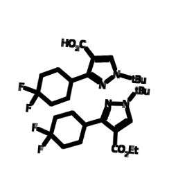 CC(C)(C)n1cc(C(=O)O)c(C2CCC(F)(F)CC2)n1.CCOC(=O)c1cn(C(C)(C)C)nc1C1CCC(F)(F)CC1